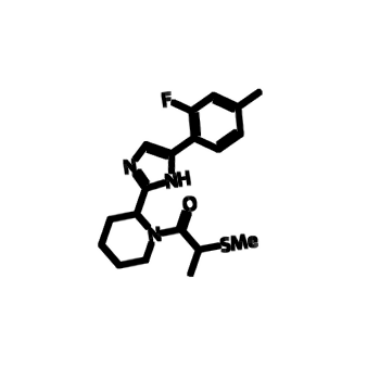 CSC(C)C(=O)N1CCCCC1c1ncc(-c2ccc(C)cc2F)[nH]1